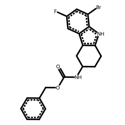 O=C(NC1CCc2[nH]c3c(Br)cc(F)cc3c2C1)OCc1ccccc1